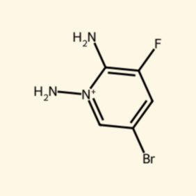 Nc1c(F)cc(Br)c[n+]1N